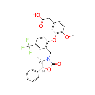 COc1ccc(CC(=O)O)cc1Oc1ccc(C(F)(F)F)cc1CN1C(=O)O[C@H](c2ccccc2)[C@@H]1C